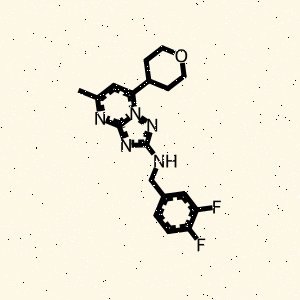 Cc1cc(C2CCOCC2)n2nc(NCc3ccc(F)c(F)c3)nc2n1